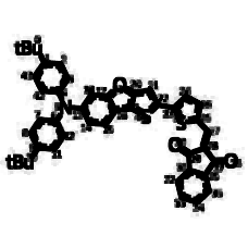 CC(C)(C)c1ccc(N(c2ccc(C(C)(C)C)cc2)c2ccc3c(c2)oc2cc(-c4ccc(C=C5C(=O)c6ccccc6C5=O)s4)sc23)cc1